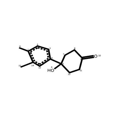 Cc1ccc(C2(O)CCC(=O)CC2)cc1C